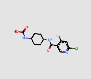 O=C(O)N[C@H]1CC[C@H](NC(=O)c2cnc(Cl)cc2Cl)CC1